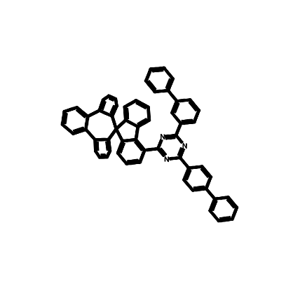 c1ccc(-c2ccc(-c3nc(-c4cccc(-c5ccccc5)c4)nc(-c4cccc5c4-c4ccccc4C54c5ccccc5-c5ccccc5-c5ccccc54)n3)cc2)cc1